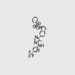 Cc1c(Nc2ccc(C(F)(F)F)cn2)ncnc1-c1ccc2ccc[n+](OS(=O)(=O)c3ccccc3)c2c1